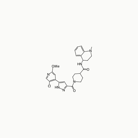 COc1cc(-c2cc(C(=O)N3CCC(C(=O)NC4CCN(C)c5ccccc54)CC3)n[nH]2)c(Cl)cn1